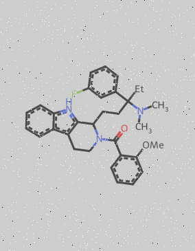 CCC(CCC1c2[nH]c3ccccc3c2CCN1C(=O)c1ccccc1OC)(c1cccc(F)c1)N(C)C